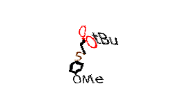 COc1ccc(SCCC(=O)OC(C)(C)C)cc1